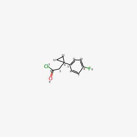 O=C(Cl)CC1(c2ccc(F)cc2)CC1